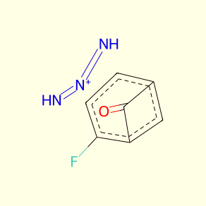 N=[N+]=N.O=C1c2ccc(F)c1c2